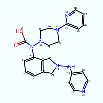 O=C(O)N(c1cccc2c1CN(Nc1ccncc1)C2)N1CCN(c2ccccn2)CC1